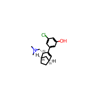 CN(C)C[C@@H]1C(c2cc(O)cc(Cl)c2)=C[C@H]2CC[C@@H]1C2